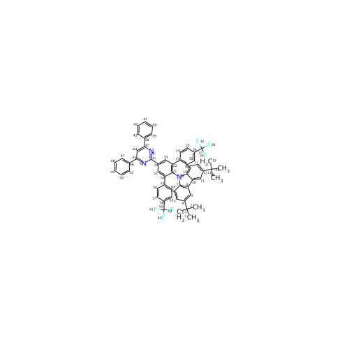 CC(C)(C)c1ccc2c(c1)c1cc(C(C)(C)C)ccc1n2-c1c(-c2ccc(C(F)(F)F)cc2)cc(-c2nc(-c3ccccc3)cc(-c3ccccc3)n2)cc1-c1ccc(C(F)(F)F)cc1